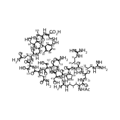 CC(=O)N[C@@H](CCCNC(=N)N)C(=O)N[C@@H](C)C(=O)N[C@@H](CCCNC(=N)N)C(=O)N[C@@H](CCCNC(=N)N)C(=O)N1CCC[C@H]1C(=O)N[C@@H](CO)C(=O)N[C@@H](CC(N)=O)C(=O)N[C@H](C(=O)N[C@@H](CCC(N)=O)C(=O)N[C@H](C(=O)N[C@@H](CCC(N)=O)C(=O)N[C@@H](Cc1ccc(O)cc1)C(=O)N[C@@H](CO)C(=O)N[C@@H](C)C(=O)N[C@@H](CS)C(=O)O)[C@@H](C)O)[C@@H](C)O